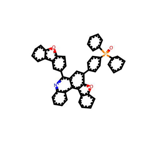 O=P(c1ccccc1)(c1ccccc1)c1ccc(-c2cc3c(-c4ccc5oc6ccccc6c5c4)nc4ccccc4c3c3c2oc2ccccc23)cc1